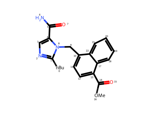 CCCCc1ncc(C(N)=O)n1Cc1ccc(C(=O)OC)c2ccccc12